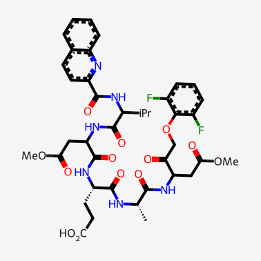 COC(=O)CC(NC(=O)[C@H](C)NC(=O)[C@H](CCC(=O)O)NC(=O)C(CC(=O)OC)NC(=O)C(NC(=O)c1ccc2ccccc2n1)C(C)C)C(=O)COc1c(F)cccc1F